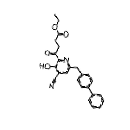 CCOC(=O)CCC(=O)c1nc(Cc2ccc(-c3ccccc3)cc2)cc(C#N)c1O